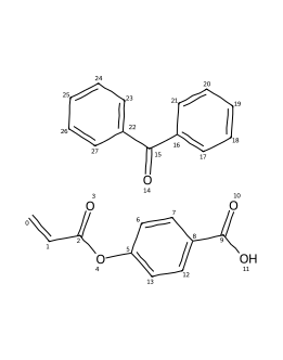 C=CC(=O)Oc1ccc(C(=O)O)cc1.O=C(c1ccccc1)c1ccccc1